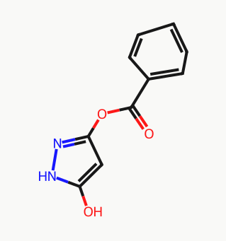 O=C(Oc1cc(O)[nH]n1)c1ccccc1